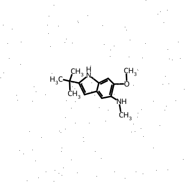 CNc1cc2cc(C(C)(C)C)[nH]c2cc1OC